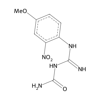 COc1ccc(NC(=N)NC(N)=O)c([N+](=O)[O-])c1